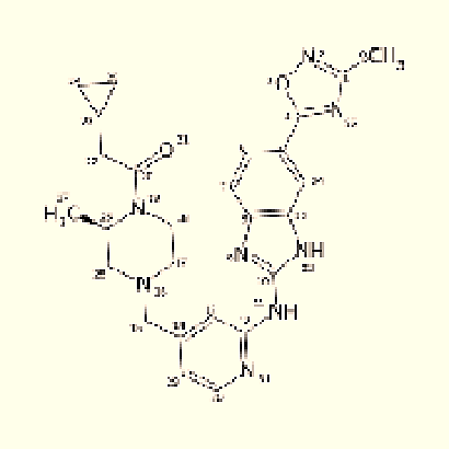 Cc1noc(-c2ccc3nc(Nc4cc(CN5CCN(C(=O)CC6CC6)[C@H](C)C5)ccn4)[nH]c3c2)n1